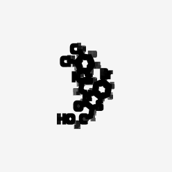 O=C(O)CC1Sc2ccc(Br)cc2N(Cc2nc3c(Cl)c(Cl)ccc3s2)C1=O